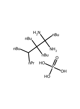 CCCCC(CCC)C(CCCC)(CCCC)C(N)(N)CCCC.O=P(O)(O)O